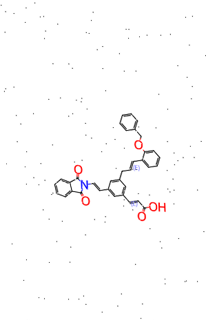 O=C(O)/C=C/c1cc(C=CN2C(=O)c3ccccc3C2=O)cc(C/C=C/c2ccccc2OCc2ccccc2)c1